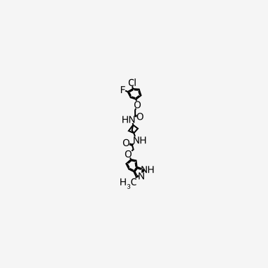 Cc1n[nH]c2cc(OCC(=O)NC34CC(NC(=O)COc5ccc(Cl)c(F)c5)(C3)C4)ccc12